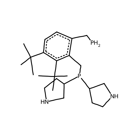 CC(C)(C)c1ccc(CP)c(CP(C2CCNC2)C2CCNC2)c1C(C)(C)C